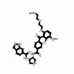 COCCOCCOc1ccc(OC)c(F)c1C(=O)c1ccc(C(=O)N[C@@H]2CNC[C@@H]2NC(=O)c2ccc3cn[nH]c3c2)cc1